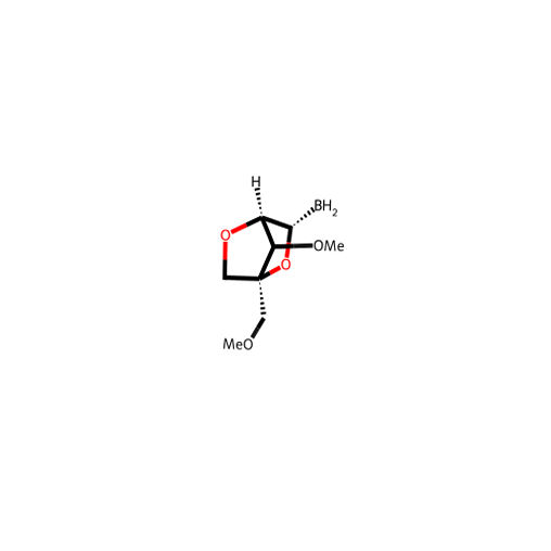 B[C@@H]1O[C@@]2(COC)CO[C@@H]1C2OC